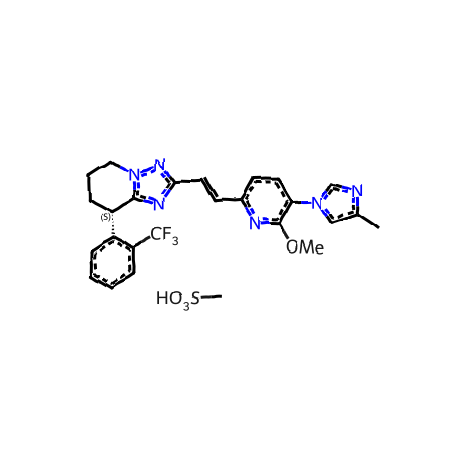 COc1nc(C=Cc2nc3n(n2)CCC[C@H]3c2ccccc2C(F)(F)F)ccc1-n1cnc(C)c1.CS(=O)(=O)O